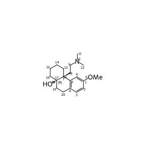 COc1ccc2c(c1)[C@@]1(CCN(C)C)CCCC[C@@]1(O)CC2